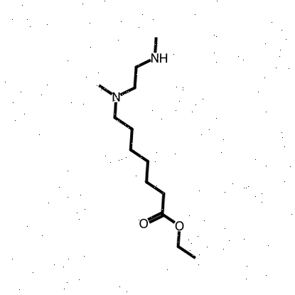 CCOC(=O)CCCCCCN(C)CCNC